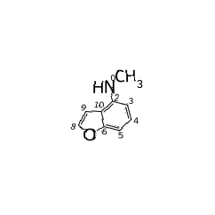 CNc1cccc2occc12